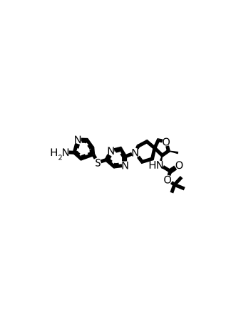 C[C@@H]1OCC2(CCN(c3cnc(Sc4ccnc(N)c4)cn3)CC2)[C@@H]1NC(=O)OC(C)(C)C